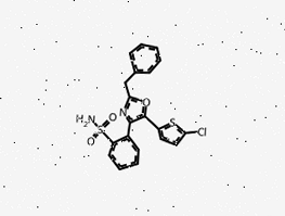 NS(=O)(=O)c1ccccc1-c1nc(Cc2ccccc2)oc1-c1ccc(Cl)s1